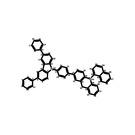 c1ccc(-c2ccc3c(c2)c2cc(-c4ccccc4)ccc2n3-c2ccc(-c3ccc4c(c3)Cc3ccccc3N4c3cccc4ccccc34)cc2)cc1